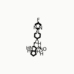 O=[SH]N[C@H]1[C@H]2CCC[C@H]2N[C@H]1COC1CCN(c2ncc(F)cn2)CC1